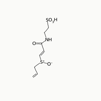 C=CC[S+]([O-])C=CC(=O)NCCS(=O)(=O)O